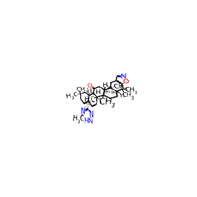 C/N=C(\N=N)[C@]12CCC(C)(C)C[C@H]1[C@H]1C(=O)C[C@@H]3[C@@]4(C)Cc5cnoc5C(C)(C)[C@@H]4CC[C@@]3(C)[C@]1(C)CC2